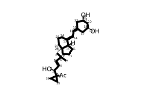 CC(=O)C1([C@@H](O)/C=C/C(C)(C)[C@H]2CC[C@H]3/C(=C/C=C4C[C@@H](O)C[C@H](O)C4)CCC[C@]23C)CC1